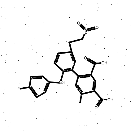 Cc1cc(-c2cc(CC[SH](=O)=O)ccc2Nc2ccc(F)cc2)c(C(=O)O)cc1C(=O)O